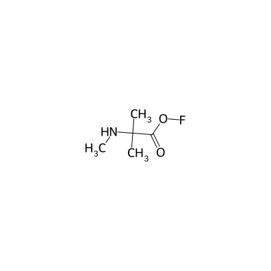 CNC(C)(C)C(=O)OF